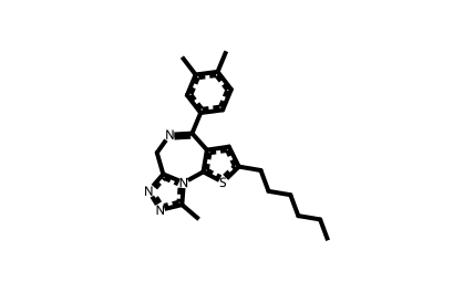 CCCCCCc1cc2c(s1)-n1c(C)nnc1CN=C2c1ccc(C)c(C)c1